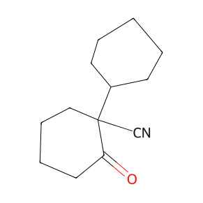 N#CC1(C2CCCCC2)CCCCC1=O